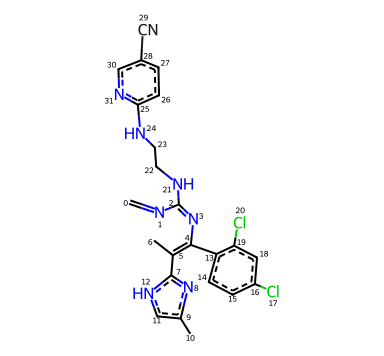 C=N/C(=N\C(=C(/C)c1nc(C)c[nH]1)c1ccc(Cl)cc1Cl)NCCNc1ccc(C#N)cn1